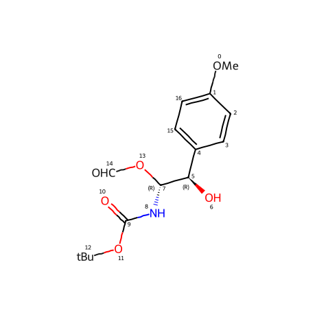 COc1ccc([C@@H](O)[C@H](NC(=O)OC(C)(C)C)OC=O)cc1